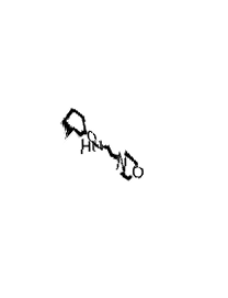 C1CCC(ONCCN2CCOCC2)CC1